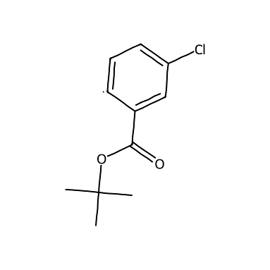 CC(C)(C)OC(=O)c1[c]ccc(Cl)c1